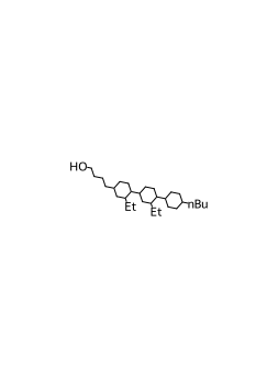 CCCCC1CCC(C2CCC(C3CCC(CCCCO)CC3CC)CC2CC)CC1